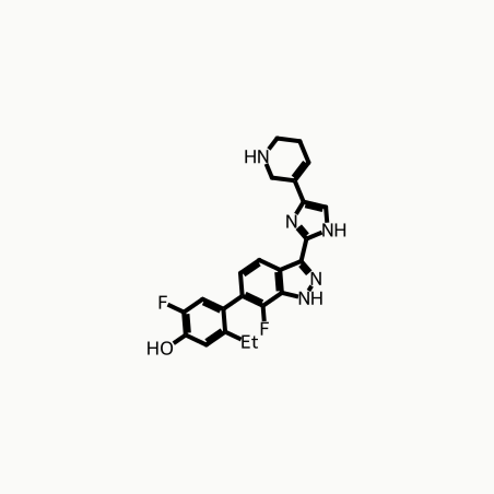 CCc1cc(O)c(F)cc1-c1ccc2c(-c3nc(C4=CCCNC4)c[nH]3)n[nH]c2c1F